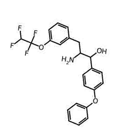 NC(Cc1cccc(OC(F)(F)C(F)F)c1)C(O)c1ccc(Oc2ccccc2)cc1